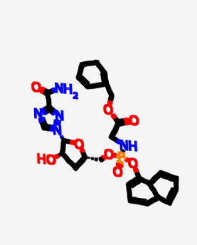 NC(=O)c1ncn([C@@H]2O[C@H](COP(=O)(NCC(=O)OCC3=CCCC=C3)OC3=CC=CC4C=CC=CC34)C[C@H]2O)n1